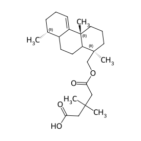 C[C@@H]1CCC=C2C1CCC1[C@](C)(COC(=O)CC(C)(C)CC(=O)O)CCC[C@@]21C